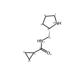 O=C(NC[C@@H]1CCCN1)C1CC1